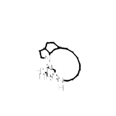 C1CCCCC2CCC3CCN(C3C2)N2CN(NCCC1)NN2